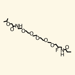 CCC(=O)NCC(F)COCCOCCOCCOCCOCCNC(=O)COC(C)C